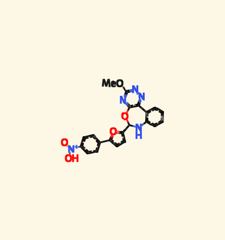 COc1nnc2c(n1)OC(c1ccc(-c3ccc([N+](=O)O)cc3)o1)Nc1ccccc1-2